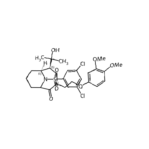 COc1ccc(OCCN2C[C@H](C(C)(C)O)[C@@H]3CCCC(C2=O)N3S(=O)(=O)c2cc(Cl)cc(Cl)c2)cc1OC